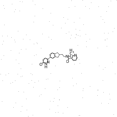 Cc1ncccc1C(=O)NCCC1Cc2ccc(-c3ccc(=O)[nH]n3)cc2C1